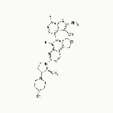 CCN1CCN([C@H]2CCN(c3ncc4c5c(c(-c6ncc(F)c7sc(N)c(C#N)c67)c(F)c4n3)COC5)[C@H]2C)CC1